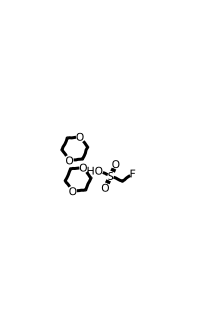 C1COCCO1.C1COCCO1.O=S(=O)(O)CF